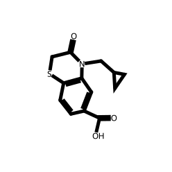 O=C(O)c1ccc2c(c1)N(CC1CC1)C(=O)CS2